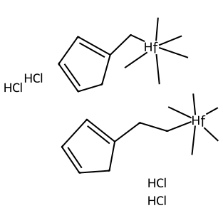 Cl.Cl.Cl.Cl.[CH3][Hf]([CH3])([CH3])([CH3])([CH3])[CH2]C1=CC=CC1.[CH3][Hf]([CH3])([CH3])([CH3])([CH3])[CH2]CC1=CC=CC1